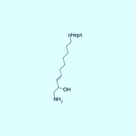 CCCCCCCCCCCCC/C=C/C(O)CN